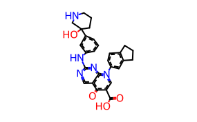 O=C(O)c1cn(-c2ccc3c(c2)CCC3)c2nc(Nc3cccc(C4(O)CCCNC4)c3)ncc2c1=O